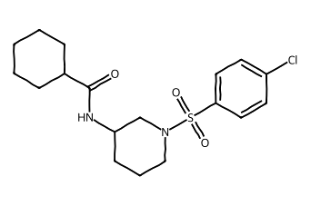 O=C(NC1CCCN(S(=O)(=O)c2ccc(Cl)cc2)C1)C1CCCCC1